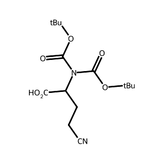 CC(C)(C)OC(=O)N(C(=O)OC(C)(C)C)C(CCC#N)C(=O)O